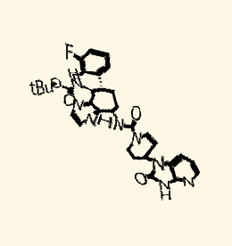 CC(C)(C)OC(=O)N[C@@H]1c2nccnc2[C@H](NC(=O)N2CCC(n3c(=O)[nH]c4ncccc43)CC2)CC[C@H]1c1cccc(F)c1F